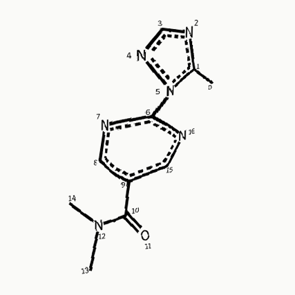 Cc1ncnn1-c1ncc(C(=O)N(C)C)cn1